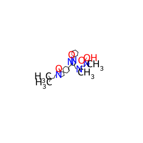 CC(C)CCN1CCC2(CC=C(c3nn(C4CCCCO4)cc3CN(C)CCN(C)C(=O)O)CC2)C1=O